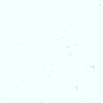 CCC(O)C(=O)OC1CC(=O)c2ccccc2C1=O